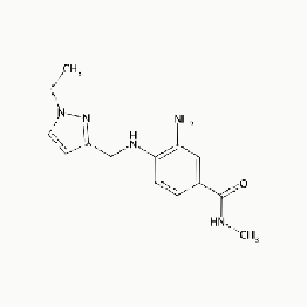 CCn1ccc(CNc2ccc(C(=O)NC)cc2N)n1